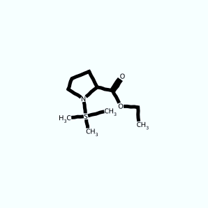 CCOC(=O)C1CCCN1S(C)(C)C